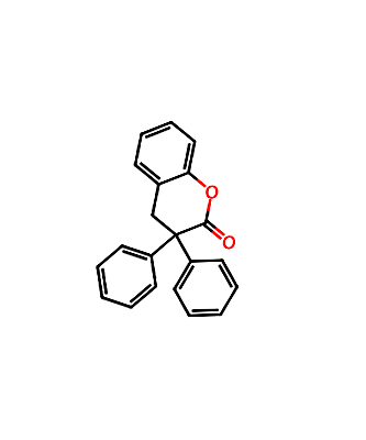 O=C1Oc2ccccc2CC1(c1ccccc1)c1ccccc1